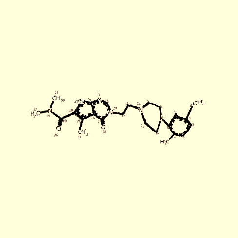 Cc1ccc(C)c(N2CCN(CCn3cnc4sc(C(=O)N(C)C)c(C)c4c3=O)CC2)c1